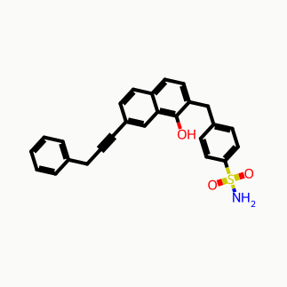 NS(=O)(=O)c1ccc(Cc2ccc3ccc(C#CCc4ccccc4)cc3c2O)cc1